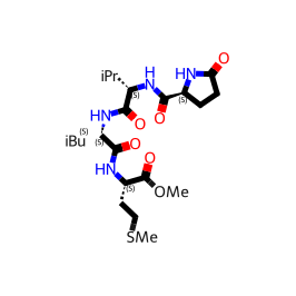 CC[C@H](C)[C@H](NC(=O)[C@@H](NC(=O)[C@@H]1CCC(=O)N1)C(C)C)C(=O)N[C@@H](CCSC)C(=O)OC